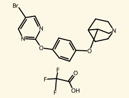 Brc1cnc(Oc2ccc(OC3CN4CCC3CC4)cc2)nc1.O=C(O)C(F)(F)F